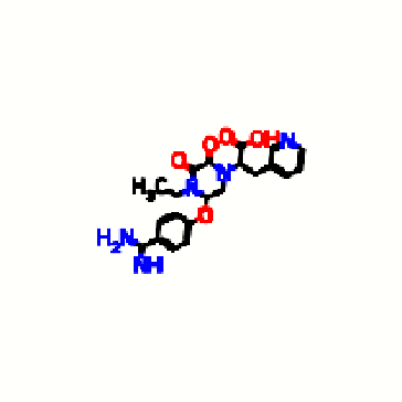 CCN1C(=O)C(=O)N(C(Cc2cccnc2)C(=O)O)CC1Oc1ccc(C(=N)N)cc1